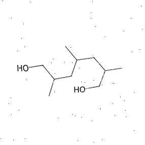 CC(CO)CC(C)CC(C)CO